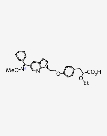 CCOC(Cc1ccc(OCCn2ccc3cc(/C(=N/OC)c4ccccc4)cnc32)cc1)C(=O)O